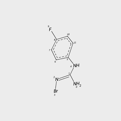 NC(=NBr)Nc1ccc(F)cc1